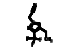 CCc1cn(CC#N)nc1C(F)(F)F